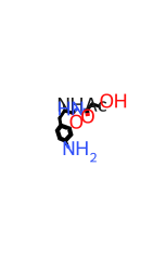 CC(=O)N[C@H](Cc1ccc(N)cc1)C(=O)NC(=O)CCO